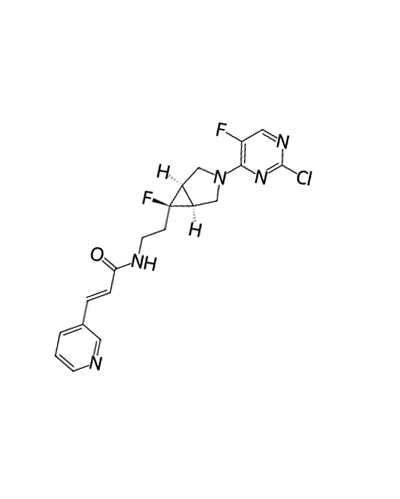 O=C(/C=C/c1cccnc1)NCC[C@@]1(F)[C@@H]2CN(c3nc(Cl)ncc3F)C[C@@H]21